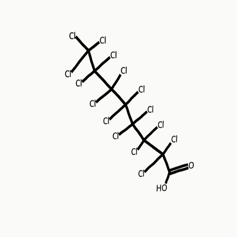 O=C(O)C(Cl)(Cl)C(Cl)(Cl)C(Cl)(Cl)C(Cl)(Cl)C(Cl)(Cl)C(Cl)(Cl)C(Cl)(Cl)Cl